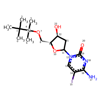 CC(C)(C)[Si](C)(C)OC[C@H]1OC(n2cc(I)c(N)nc2=O)C[C@@H]1O